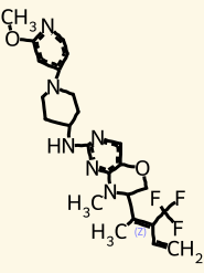 C=C/C(=C(\C)C1COc2cnc(NC3CCN(c4ccnc(OC)c4)CC3)nc2N1C)C(F)(F)F